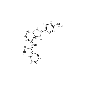 Nc1ccc(-c2cc3ncnc(NC(CO)c4ccccc4)c3s2)cn1